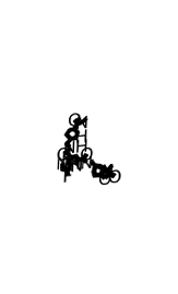 CNC(=O)C1CCC(CNC(=O)c2cc(C(=O)NCc3ccc4oc(=O)n(C)c4c3)nc3c(F)cnn23)CC1